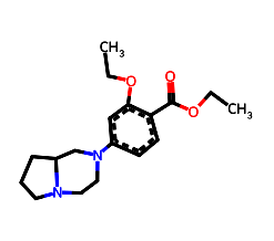 CCOC(=O)c1ccc(N2CCN3CCCC3C2)cc1OCC